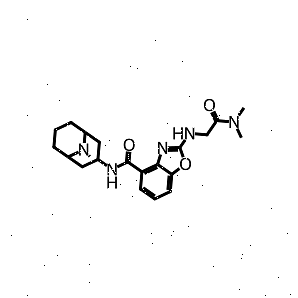 CN(C)C(=O)CNc1nc2c(C(=O)NC3CC4CCCC(C3)N4C)cccc2o1